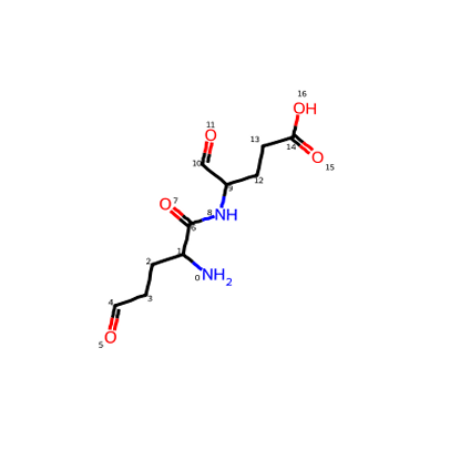 NC(CCC=O)C(=O)NC(C=O)CCC(=O)O